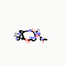 C=CC(=O)N1CC[C@@H](C(=O)N(C)[C@H](C(=O)N[C@H]2CCC(=O)N(C)Cc3ccc4c(c3)c(c(-c3cccnc3C(C)C)n4CC)CC(C)(C)COC(=O)[C@@H]3CCCN(N3)C2=O)C(C)C)C1